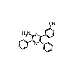 N#Cc1cccc(-c2nc(N)c(-c3ccccc3)nc2-c2ccccc2)c1